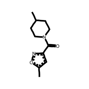 Cc1cc(C(=O)N2CCC(C)CC2)no1